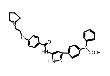 O=C(Nc1cc(-c2ccc(N(C(=O)O)c3ccccc3)cc2)n[nH]1)c1ccc(OCCN2CCCC2)cc1